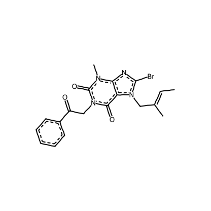 CC=C(C)Cn1c(Br)nc2c1c(=O)n(CC(=O)c1ccccc1)c(=O)n2C